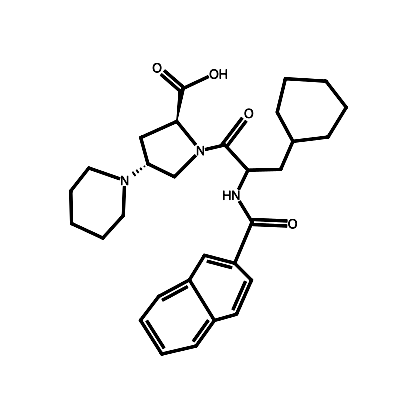 O=C(NC(CC1CCCCC1)C(=O)N1C[C@H](N2CCCCC2)C[C@H]1C(=O)O)c1ccc2ccccc2c1